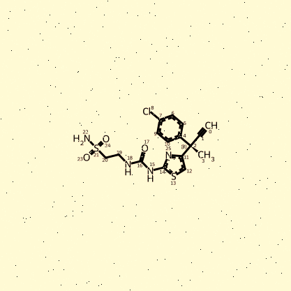 C#C[C@@](C)(c1ccc(Cl)cc1)c1csc(NC(=O)NCCS(N)(=O)=O)n1